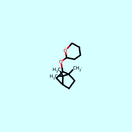 [CH2]C12CCC(CC1OC1CCCCO1)C2(C)C